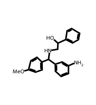 COc1ccc(C(NCC(O)c2ccccc2)c2cccc(N)c2)cc1